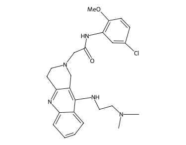 COc1ccc(Cl)cc1NC(=O)CN1CCc2nc3ccccc3c(NCCN(C)C)c2C1